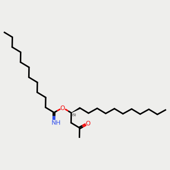 CCCCCCCCCCCC(=N)O[C@@H](CCCCCCCCCCC)CC(C)=O